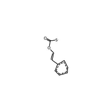 O=C([S])OC=Cc1ccccc1